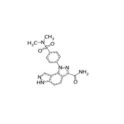 CN(C)S(=O)(=O)c1ccc(-n2nc(C(N)=O)c3ccc4[nH]ncc4c32)cc1